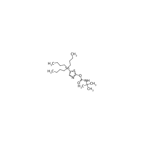 CCC[CH2][Sn]([CH2]CCC)([CH2]CCC)[c]1cnc(OC(=O)NC(C)(C)C)s1